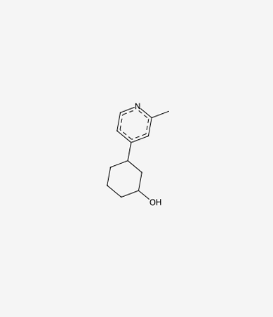 Cc1cc(C2CCCC(O)C2)ccn1